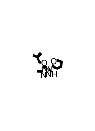 C=C(C)CON1C(C)=NNN1C1CCCCO1